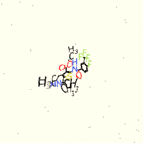 CCOC(=O)c1c(NC(=O)c2ccc(F)c(C(F)(F)F)c2)sc2c1CC(C)(C)NC2(C)C